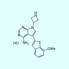 COc1cccc2cc(-c3cn(C4CNC4)c4ncnc(N)c34)sc12.Cl